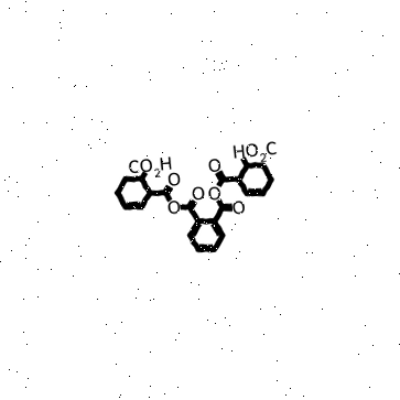 O=C(OC(=O)C1C=CCCC1C(=O)O)c1ccccc1C(=O)OC(=O)C1C=CCCC1C(=O)O